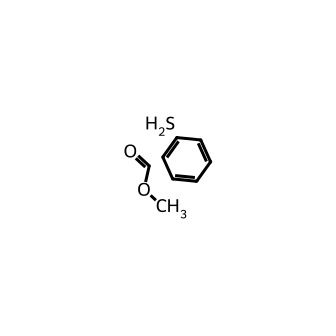 COC=O.S.c1ccccc1